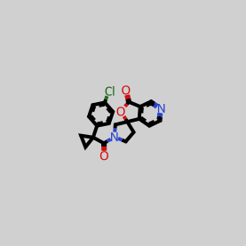 O=C1OC2(CCN(C(=O)C3(c4ccc(Cl)cc4)CC3)C2)c2ccncc21